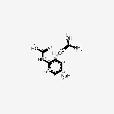 C.NC(O)=S.OC(=S)Nc1ccccn1.[NaH]